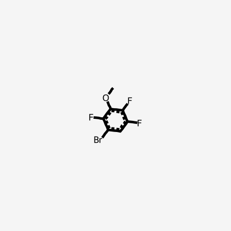 COc1c(F)c(F)cc(Br)c1F